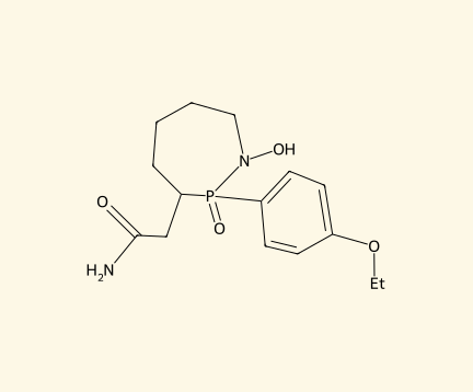 CCOc1ccc(P2(=O)C(CC(N)=O)CCCCN2O)cc1